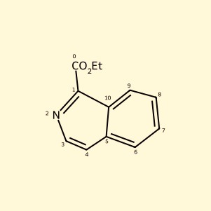 CCOC(=O)c1nccc2ccccc12